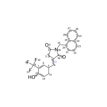 O=C1S/C(=C\C2C=C(C(F)(F)F)C(O)=CC2)C(=O)N1Cc1cccc2ccccc12